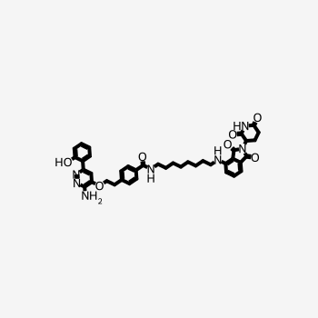 Nc1nnc(-c2ccccc2O)cc1OCCc1ccc(C(=O)NCCCCCCCCNc2cccc3c2C(=O)N(C2CCC(=O)NC2=O)C3=O)cc1